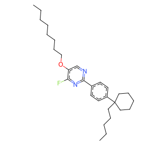 CCCCCCCCOc1cnc(-c2ccc(C3(CCCCC)CCCCC3)cc2)nc1F